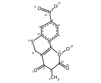 CC1C(=O)C2=C(c3ccc([N+](=O)[O-])cc3SC2)[O+]([O-])C1=O